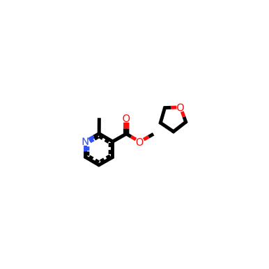 C1CCOC1.COC(=O)c1cccnc1C